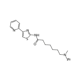 CC(C)N(C)CCCCCCC(=O)Nc1nc(-c2ccccn2)cs1